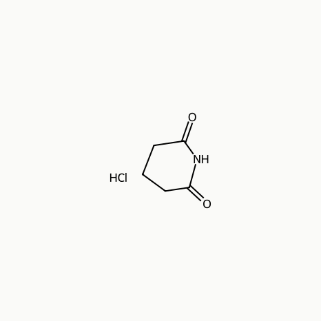 Cl.O=C1CCCC(=O)N1